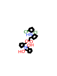 O=C(Cc1ccccc1Nc1c(Cl)cccc1Cl)OCc1ccccc1N1C(O)c2ccccc2C1O